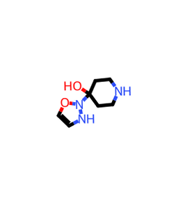 OC1(N2NC=CO2)CCNCC1